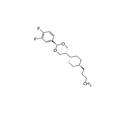 CCCC[C@H]1CC[C@H]([C@H]2CO[C@H](c3ccc(F)c(F)c3)OC2)CC1